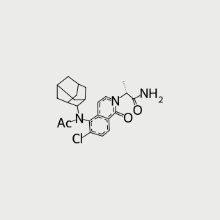 CC(=O)N(c1c(Cl)ccc2c(=O)n([C@H](C)C(N)=O)ccc12)C1C2CC3CC(C2)CC1C3